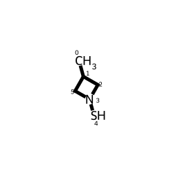 CC1CN(S)C1